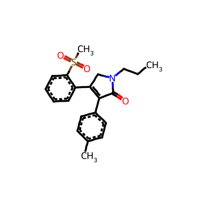 CCCN1CC(c2ccccc2S(C)(=O)=O)=C(c2ccc(C)cc2)C1=O